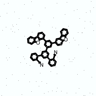 N#Cc1ccccc1-c1cc(-c2cc(-c3ccc4oc5ccccc5c4c3)cc(-c3cccc4c3oc3ccccc34)c2)cc(-c2ccccc2C#N)c1